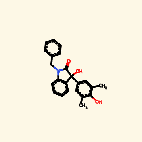 Cc1cc(C2(O)C(=O)N(Cc3ccccc3)c3ccccc32)cc(C)c1O